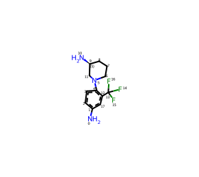 Nc1ccc(N2CCC[C@H](N)C2)c(C(F)(F)F)c1